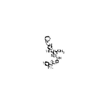 Cc1cn2c(Nc3ccn(CC(=O)Nc4ccncc4F)c3)cnc2c(Nc2cc(CN3CCCCC3)ns2)n1